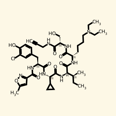 C#CCNC(=O)[C@H](CO)NC(=O)[C@H](CCCCN(CC)CC)NC(=O)[C@H](NC(=O)[C@@H](NC(=O)[C@H](Cc1ccc(O)c(Cl)c1)NC(=O)c1cc(C)on1)C1CC1)[C@@H](C)CC